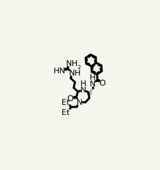 CCC(CC)CN1CC[C@@H](CNC(=O)c2ccc3ccccc3c2)NC(CCCNC(=N)N)C1=O